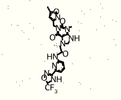 Cc1cc(Cn2c(=O)c3c(n(C)c2=O)NCN3[C@@H](C)C(=O)Nc2cccc(C3=NOC(C(F)(F)F)N3)n2)no1